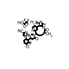 C[C@@H]1CCC[C@H](n2cnc(-c3c(-n4cc(C#N)nn4)ccc(Cl)c3F)cc2=O)c2cc(ccn2)-c2c(cnn2C)NC1=O.O=C(O)C(F)(F)F